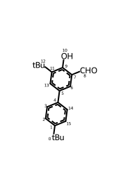 CC(C)(C)c1ccc(-c2cc(C=O)c(O)c(C(C)(C)C)c2)cc1